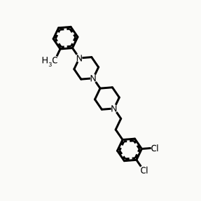 Cc1ccccc1N1CCN(C2CCN(CCc3ccc(Cl)c(Cl)c3)CC2)CC1